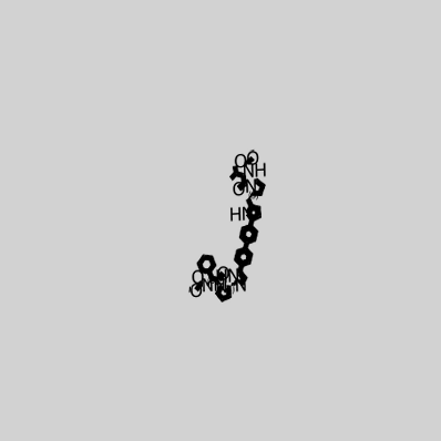 COC(=O)NC(C(=O)N1CCC[C@H]1Cc1ccc(-c2ccc(-c3ccc(-c4cnc([C@@H]5CCCN5C(=O)[C@@H](NC(=O)OC)C5CCCCC5)[nH]4)cc3)cc2)[nH]1)C(C)C